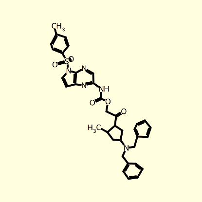 Cc1ccc(S(=O)(=O)n2ccc3nc(NC(=O)OCC(=O)C4CC(N(Cc5ccccc5)Cc5ccccc5)CC4C)cnc32)cc1